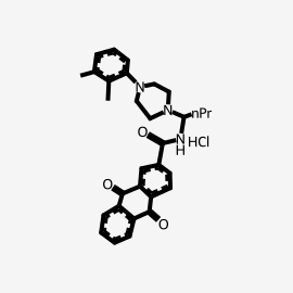 CCCC(NC(=O)c1ccc2c(c1)C(=O)c1ccccc1C2=O)N1CCN(c2cccc(C)c2C)CC1.Cl